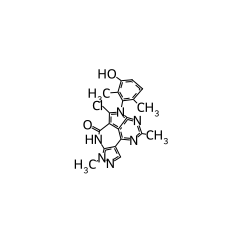 Cc1nc2c3c(c(Cl)n(-c4c(C)ccc(O)c4C)c3n1)C(=O)Nc1c-2cnn1C